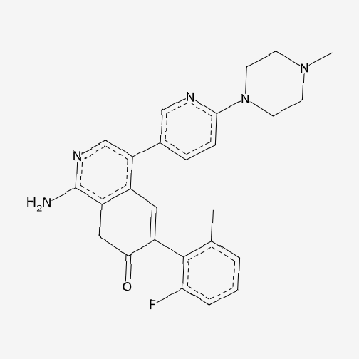 Cc1cccc(F)c1C1=Cc2c(-c3ccc(N4CCN(C)CC4)nc3)cnc(N)c2CC1=O